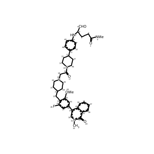 CNC(=O)CCC(C=O)Nc1ccc(C2CCN(C(=O)CN3CCC(Cc4c(F)cc(-c5cn(C)c(=O)c6ccccc56)cc4OC)CC3)CC2)cc1